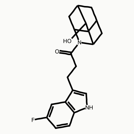 O=C(CCc1c[nH]c2ccc(F)cc12)N1C2CC3CC(C2)C(O)C1C3